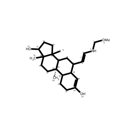 COCN/C=C/C1CC2C3(I)CCC(O)C3(C)CC[C@]2(C)C2CCC(O)=CC12